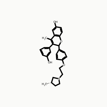 CC1=C(c2cccc(O)c2)C(c2ccc(OCCN3CC[C@H](C)C3)cc2)Oc2ccc(O)cc21